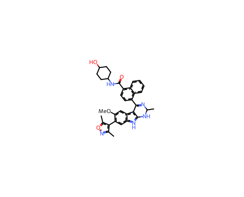 COc1cc2c3c([nH]c2cc1-c1c(C)noc1C)NC(C)N=C3c1ccc(C(=O)NC2CCC(O)CC2)c2ccccc12